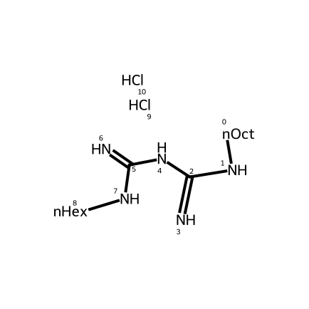 CCCCCCCCNC(=N)NC(=N)NCCCCCC.Cl.Cl